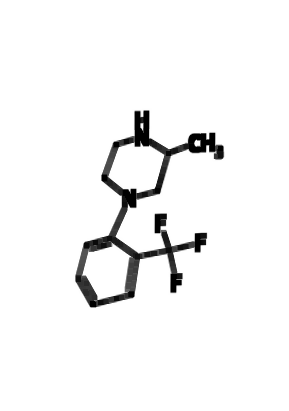 CC1CN(c2ccccc2C(F)(F)F)CCN1